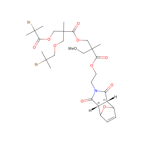 COCC(C)(COC(=O)C(C)(COCC(C)(C)Br)COC(=O)C(C)(C)Br)C(=O)OCCN1C(=O)[C@@H]2C3C=CC(O3)[C@@H]2C1=O